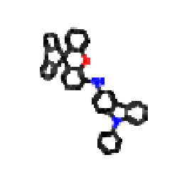 c1ccc(-n2c3ccccc3c3cc(Nc4cccc5c4Oc4ccccc4C54c5ccccc5-c5ccccc54)ccc32)cc1